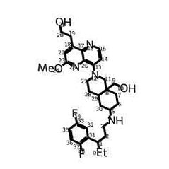 CCC(CCNC1CCC2(CO)CN(c3ccnc4c(CCO)cc(OC)nc34)CCC2C1)c1cc(F)ccc1F